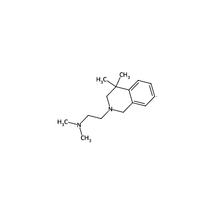 CN(C)CCN1Cc2c[c]ccc2C(C)(C)C1